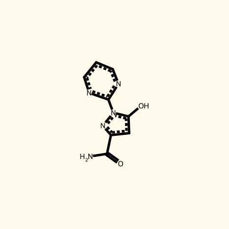 NC(=O)c1cc(O)n(-c2ncccn2)n1